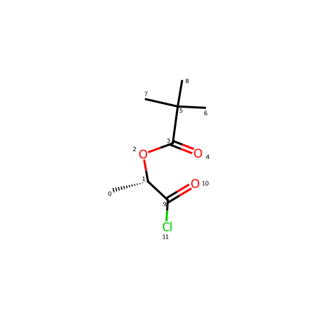 C[C@H](OC(=O)C(C)(C)C)C(=O)Cl